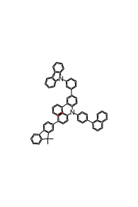 CC1(C)c2ccccc2-c2ccc(-c3ccc(N(c4ccc(-c5cccc6ccccc56)cc4)c4ccc(-c5cccc(-n6c7ccccc7c7ccccc76)c5)cc4-c4ccccc4)cc3)cc21